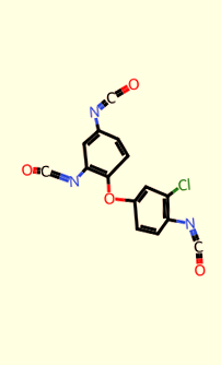 O=C=Nc1ccc(Oc2ccc(N=C=O)c(Cl)c2)c(N=C=O)c1